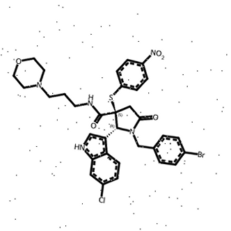 O=C1C[C@@](Sc2ccc([N+](=O)[O-])cc2)(C(=O)NCCCN2CCOCC2)[C@@H](c2c[nH]c3cc(Cl)ccc23)N1Cc1ccc(Br)cc1